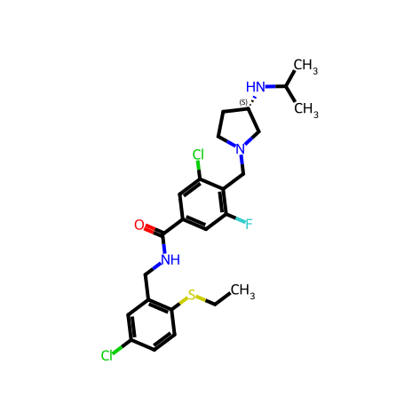 CCSc1ccc(Cl)cc1CNC(=O)c1cc(F)c(CN2CC[C@H](NC(C)C)C2)c(Cl)c1